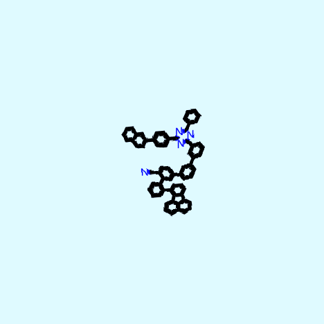 N#Cc1ccc(-c2cccc(-c3cccc(-c4nc(-c5ccccc5)nc(-c5ccc(-c6ccc7ccccc7c6)cc5)n4)c3)c2)cc1-c1ccccc1-c1cccc2c1-c1cccc3cccc-2c13